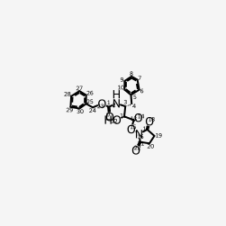 O=C(N[C@H](Cc1ccccc1)[C@H](O)C(=O)ON1C(=O)CCC1=O)OCc1ccccc1